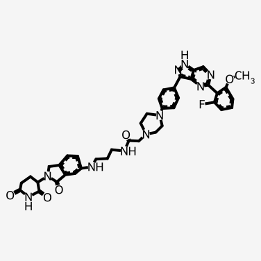 COc1cccc(F)c1-c1ncc2[nH]nc(-c3ccc(N4CCN(CC(=O)NCCCNc5ccc6c(c5)C(=O)N(C5CCC(=O)NC5=O)C6)CC4)cc3)c2n1